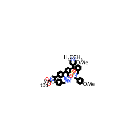 COc1ccc(CN(Cc2ccc(OC)cc2)S(=O)(=O)c2c(CC3CC[N+](C)(C)CC3)ccc(-c3ccc(C4CN(C(=O)OC(C)(C)C)C4)cc3)c2-c2nnn(Cc3ccc(OC)cc3)n2)cc1